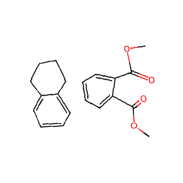 COC(=O)c1ccccc1C(=O)OC.c1ccc2c(c1)CCCC2